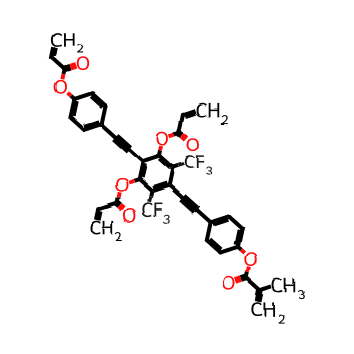 C=CC(=O)Oc1ccc(C#Cc2c(OC(=O)C=C)c(C(F)(F)F)c(C#Cc3ccc(OC(=O)C(=C)C)cc3)c(C(F)(F)F)c2OC(=O)C=C)cc1